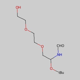 CC(C)(C)OC(COCCOCCO)NC=O